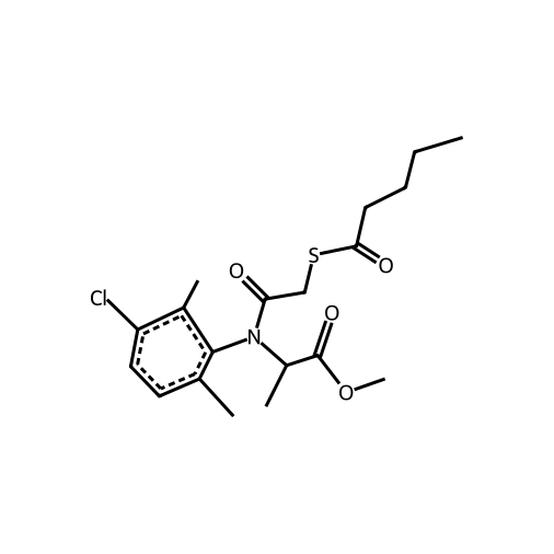 CCCCC(=O)SCC(=O)N(c1c(C)ccc(Cl)c1C)C(C)C(=O)OC